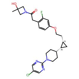 CC1(O)CN(C(=O)Cc2ccc(OCC[C@@H]3C[C@@H]3C3CCN(c4ncc(Cl)cn4)CC3)cc2F)C1